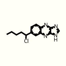 CCCCC(Cl)c1ccc2nc3nc[nH]c3nc2c1